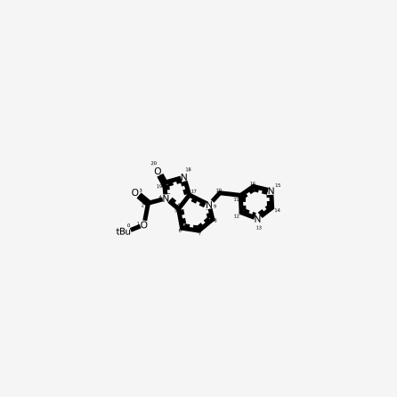 CC(C)(C)OC(=O)n1c2cccn(Cc3cncnc3)c-2nc1=O